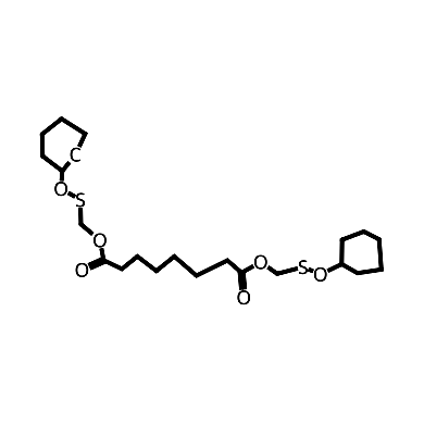 O=C(CCCCCCC(=O)OCSOC1CCCCC1)OCSOC1CCCCC1